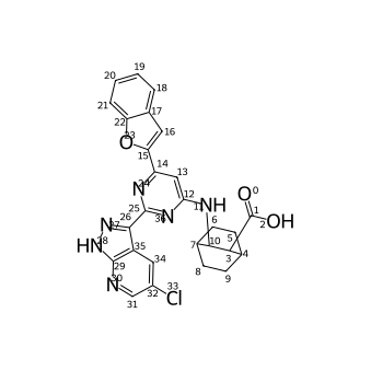 O=C(O)C1C2CCC(CC2)C1Nc1cc(-c2cc3ccccc3o2)nc(-c2n[nH]c3ncc(Cl)cc23)n1